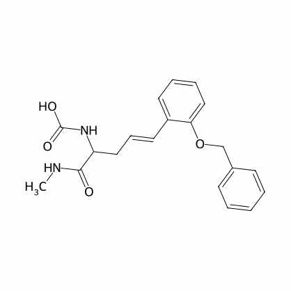 CNC(=O)C(CC=Cc1ccccc1OCc1ccccc1)NC(=O)O